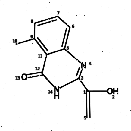 C=C(O)c1nc2cccc(C)c2c(=O)[nH]1